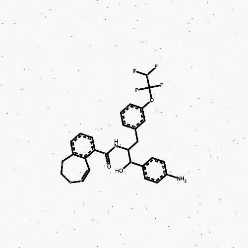 Nc1ccc(C(O)C(Cc2cccc(OC(F)(F)C(F)F)c2)NC(=O)c2cccc3c2C=CCCC3)cc1